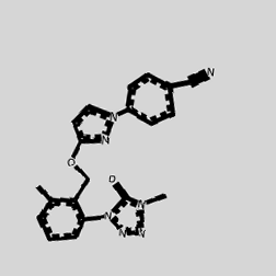 Cc1cccc(-n2nnn(C)c2=O)c1COc1ccn(-c2ccc(C#N)cc2)n1